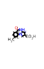 Cc1ccc(C(N)=O)c(N2CCC(C(=O)O)C2)c1